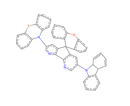 C1=CC2c3ccccc3N(c3cnc4c(c3)C3(c5ccccc5Oc5ccccc53)c3cc(N5c6ccccc6Sc6ccccc65)cnc3-4)C2C=C1